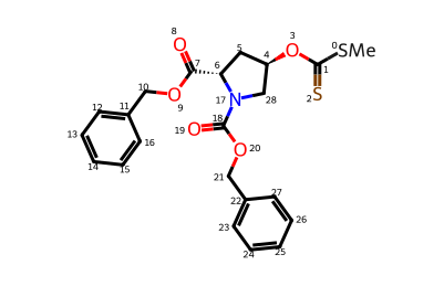 CSC(=S)O[C@@H]1C[C@@H](C(=O)OCc2ccccc2)N(C(=O)OCc2ccccc2)C1